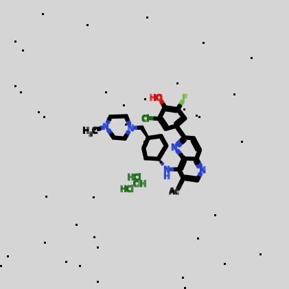 CC(=O)c1cnc2ccc(-c3cc(F)c(O)c(Cl)c3)nc2c1N[C@H]1CC[C@H](CN2CCN(C)CC2)CC1.Cl.Cl.Cl